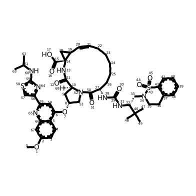 COc1ccc2c(O[C@@H]3C[C@H]4C(=O)N[C@]5(C(=O)O)CC5/C=C\CCCCC[C@H](NC(=O)N[C@H](CN5CCc6ccccc6S5(=O)=O)C(C)(C)C)C(=O)N4C3)cc(-c3csc(NC(C)C)n3)nc2c1